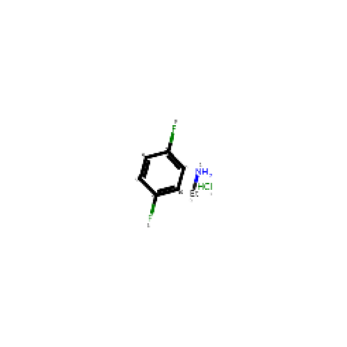 CCN.Cl.Fc1ccc(F)cc1